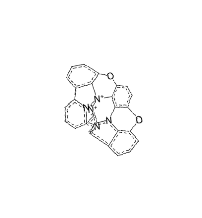 c1cc2c3c(c1)-c1cccc[n+]1[N+]31c3c(ccc4c3-n3c5c(cccc5c5ncc[n+]1c53)O4)O2